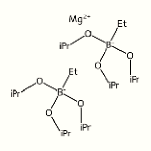 CC[B-](OC(C)C)(OC(C)C)OC(C)C.CC[B-](OC(C)C)(OC(C)C)OC(C)C.[Mg+2]